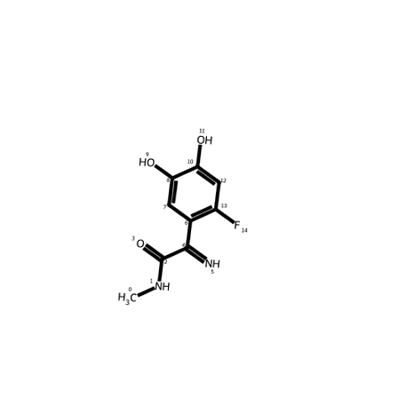 CNC(=O)C(=N)c1cc(O)c(O)cc1F